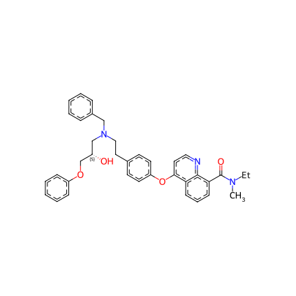 CCN(C)C(=O)c1cccc2c(Oc3ccc(CCN(Cc4ccccc4)C[C@H](O)COc4ccccc4)cc3)ccnc12